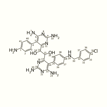 Nc1ccc(-c2c(N)nc(N)nc2C(O)C(O)c2nc(N)nc(N)c2-c2ccc(NCc3ccc(Cl)cc3)cc2)cc1